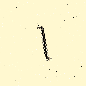 CC(=O)CCOCCOCCOCCOCCOCCOCCOCCOCCOCCOCCOCCCO